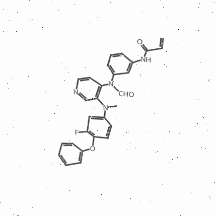 C=CC(=O)Nc1cccc(N(C=O)c2ccncc2N(C)c2ccc(Oc3ccccc3)c(F)c2)c1